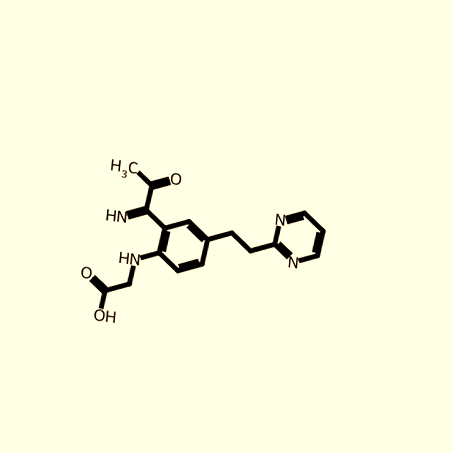 CC(=O)C(=N)c1cc(CCc2ncccn2)ccc1NCC(=O)O